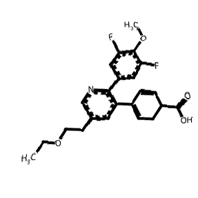 CCOCCc1cnc(-c2cc(F)c(OC)c(F)c2)c(C2=CCC(C(=O)O)C=C2)c1